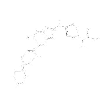 CC(C(=O)O)c1ccc(Oc2nc3nc(-c4ccc(N5CCOCC5)cc4)c(Cl)cc3[nH]2)cc1